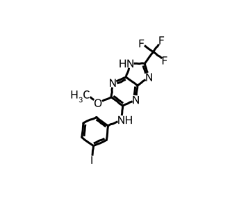 COc1nc2[nH]c(C(F)(F)F)nc2nc1Nc1cccc(I)c1